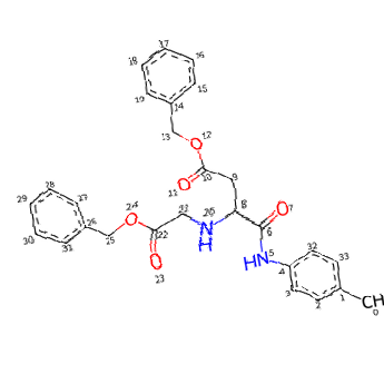 Cc1ccc(NC(=O)C(CC(=O)OCc2ccccc2)NCC(=O)OCc2ccccc2)cc1